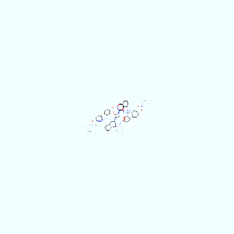 CC1CC(C)CN(Sc2ccc3c(c2)C2(N=c4cccc5cc/c(=C6\C(=O)C(c7ccc8cccc9c8c7NC7(N9)c8cc(S(=O)(=O)N9CC(C)CC(C)C9)ccc8-c8ccc(S(=O)(=O)N9CC(C)CC(C)C9)cc87)=C6O)c(c45)N2)c2cc(S(=O)(=O)N4CC(C)CC(C)C4)ccc2-3)C1